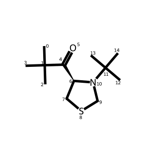 CC(C)(C)C(=O)[C@@H]1CSCN1C(C)(C)C